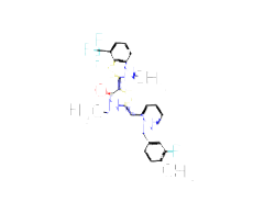 CCn1c(=O)/c(=C2\Sc3c(cccc3C(F)(F)F)N2C)s/c1=C\c1cccc[n+]1Cc1ccc(C)c(F)c1